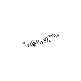 Cc1c(Nc2nccc3cc(CN4CCC(O)C4)cnc23)cccc1-c1cccc(-c2nc3cc(CN4CC(C(=O)O)C4)cc(C#N)c3o2)c1C